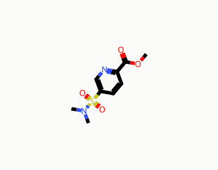 COC(=O)c1ccc(S(=O)(=O)N(C)C)cn1